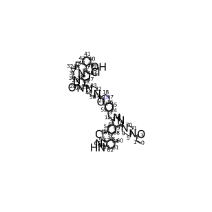 C=CC(=O)N1CCN(c2nnc(Cc3ccc(/C=C\C(=O)N4CCN(c5nc(=O)n(CC6CC6)c6nc(-c7c(O)cccc7F)c(Cl)cc56)CC4)cc3)c3cc(Cl)c(-c4c(C)ccc5[nH]ncc45)cc23)CC1